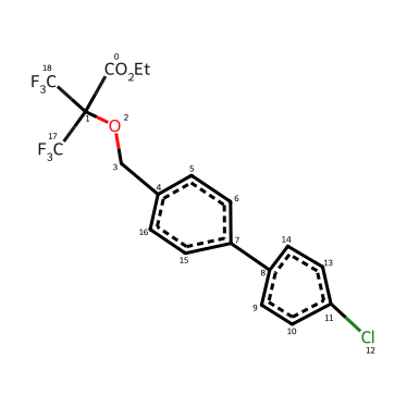 CCOC(=O)C(OCc1ccc(-c2ccc(Cl)cc2)cc1)(C(F)(F)F)C(F)(F)F